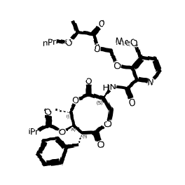 CCCOC(C)C(=O)OCOc1c(OC)ccnc1C(=O)N[C@H]1COC(=O)[C@H](Cc2ccccc2)[C@@H](OC(=O)C(C)C)[C@H](C)OC1=O